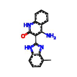 Cc1cccc2[nH]c(-c3c(N)c4ccccc4[nH]c3=O)nc12